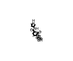 O=C(N[C@H]1CCNC1)C1CCC2CN1C(=O)N2OS(=O)(=O)O